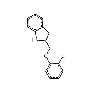 Clc1ccccc1OCC1Cc2ccccc2N1